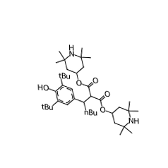 CCCCC(c1cc(C(C)(C)C)c(O)c(C(C)(C)C)c1)C(C(=O)OC1CC(C)(C)NC(C)(C)C1)C(=O)OC1CC(C)(C)NC(C)(C)C1